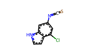 S=C=Nc1cc(Cl)c2cc[nH]c2c1